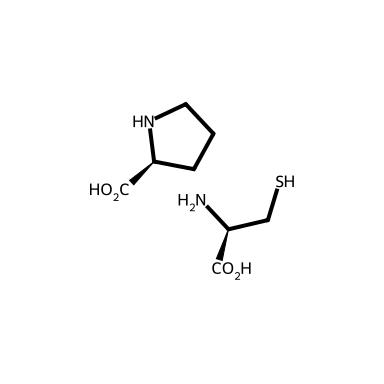 N[C@@H](CS)C(=O)O.O=C(O)[C@@H]1CCCN1